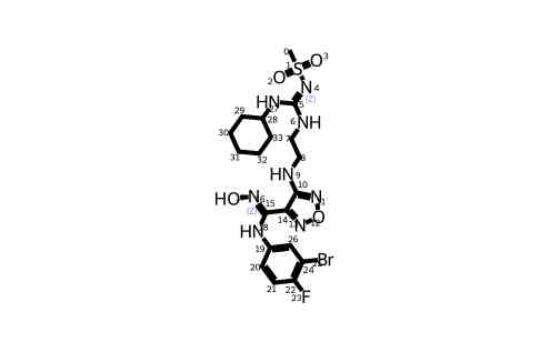 CS(=O)(=O)/N=C(/NCCNc1nonc1/C(=N/O)Nc1ccc(F)c(Br)c1)NC1CCCCC1